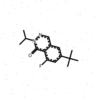 CC(C)n1ncc2cc(C(C)(C)C)cc(F)c2c1=O